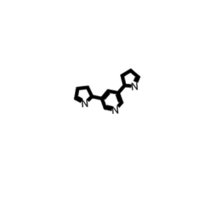 C1=NC(c2cncc(C3CCC=N3)c2)CC1